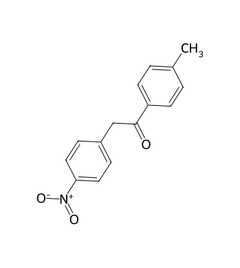 Cc1ccc(C(=O)Cc2ccc([N+](=O)[O-])cc2)cc1